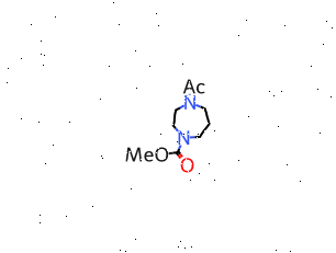 COC(=O)N1CCCN(C(C)=O)CC1